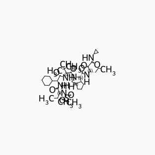 CCC[C@H](NC(=O)[C@@H]1C2CCC[C@H]2CN1C(=O)[C@@H](NC(=O)C(NC(=O)[C@H](NS(C)(=O)=O)C(C)C)C1CCCCC1)C(C)(C)C)C(=O)C(=O)NC1CC1